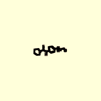 O=CNNc1ccc(NC(=S)N2CCCCC2)cc1